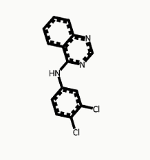 Clc1ccc(Nc2ncnc3ccccc23)cc1Cl